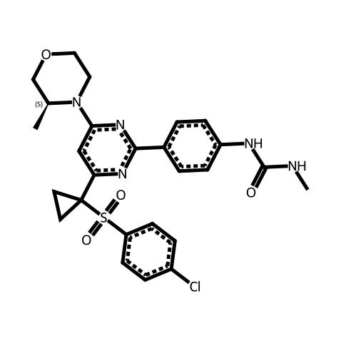 CNC(=O)Nc1ccc(-c2nc(N3CCOC[C@@H]3C)cc(C3(S(=O)(=O)c4ccc(Cl)cc4)CC3)n2)cc1